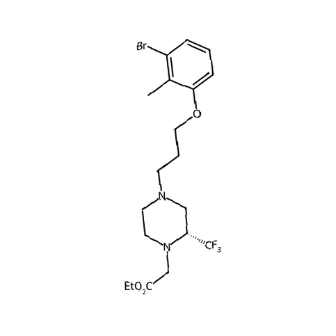 CCOC(=O)CN1CCN(CCCOc2cccc(Br)c2C)C[C@@H]1C(F)(F)F